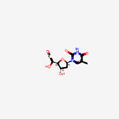 Cc1cn([C@H]2C[C@H](O)[C@@H](C(O)=C=O)O2)c(=O)[nH]c1=O